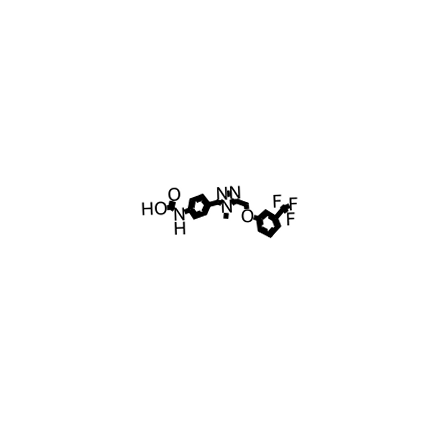 Cn1c(COc2cccc(C(F)(F)F)c2)nnc1-c1ccc(NC(=O)O)cc1